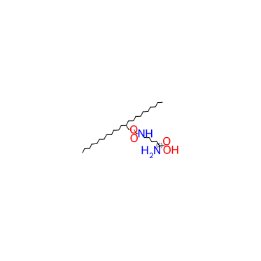 CCCCCCCCCCCCC(CCCCCCCCCC)COC(=O)NCCCC[C@H](N)C(=O)O